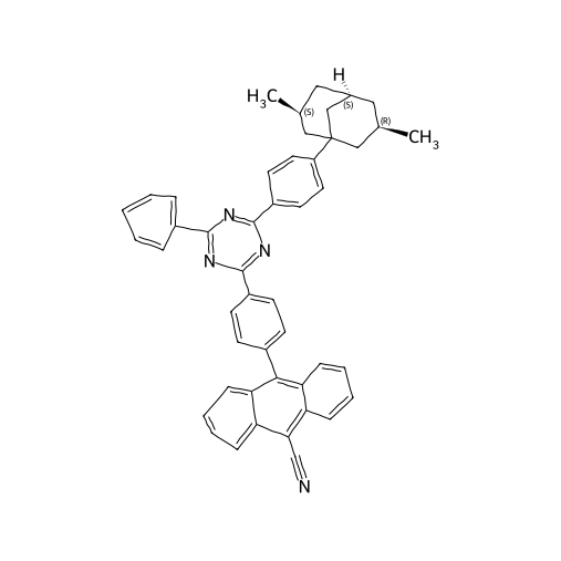 C[C@@H]1C[C@@H]2C[C@H](C)CC(c3ccc(-c4nc(-c5ccccc5)nc(-c5ccc(-c6c7ccccc7c(C#N)c7ccccc67)cc5)n4)cc3)(C1)C2